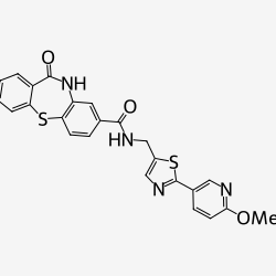 COc1ccc(-c2ncc(CNC(=O)c3ccc4c(c3)NC(=O)c3ccccc3S4)s2)cn1